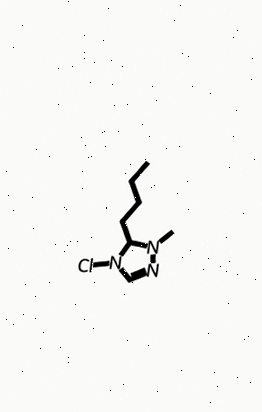 CCCCC1N(Cl)C=NN1C